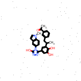 CC(=O)c1cccc(CC(C)c2cc(-c3nnc(O)n3-c3ccc4c(ccn4C)c3)cc(O)c2O)c1